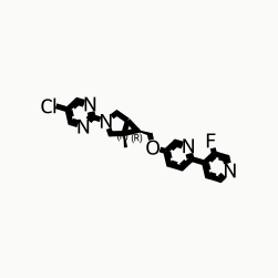 C[C@@]12CN(c3ncc(Cl)cn3)CC1[C@H]2COc1ccc(-c2ccncc2F)nc1